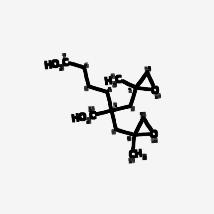 CC1(CC(CCCC(=O)O)(CC2(C)CO2)C(=O)O)CO1